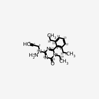 C#CCN(N)c1nc(-c2c(CC)cccc2CC)n(CC)c(=O)n1